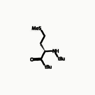 CSCC[C@H](NC(C)(C)C)C(=O)C(C)(C)C